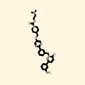 CN(C)CCOC(=O)N1CCC(COc2cnc(-c3cccc(Cn4nc(-c5cccc(N)c5)ccc4=O)c3)nc2)CC1